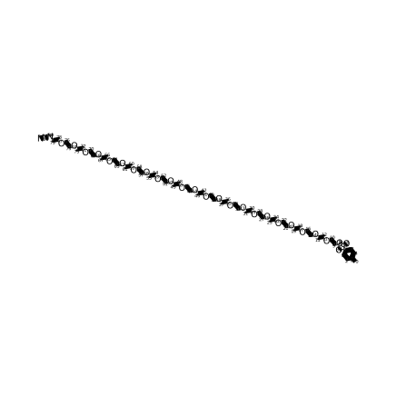 Cc1ccc(S(=O)(=O)OCCOCCOCCOCCOCCOCCOCCOCCOCCOCCOCCOCCOCCOCCOCCOCCOCCOCCOCCOCCOCCOCCOCCOCCN=[N+]=[N-])cc1